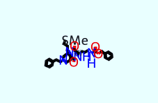 CSCCCN1C(=O)[C@H](CCCNC(=O)OCc2ccccc2)NC(=O)C12CCN(CCc1ccccc1)CC2